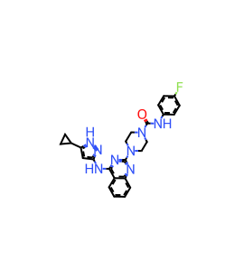 O=C(Nc1ccc(F)cc1)N1CCN(c2nc(Nc3cc(C4CC4)[nH]n3)c3ccccc3n2)CC1